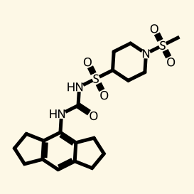 CS(=O)(=O)N1CCC(S(=O)(=O)NC(=O)Nc2c3c(cc4c2CCC4)CCC3)CC1